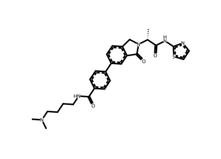 C[C@H](C(=O)Nc1nccs1)N1Cc2ccc(-c3ccc(C(=O)NCCCCN(C)C)cc3)cc2C1=O